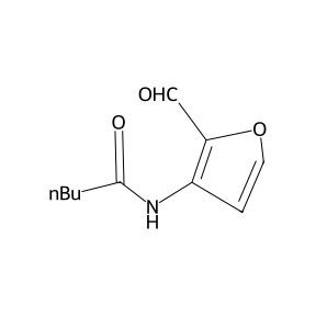 CCCCC(=O)Nc1ccoc1C=O